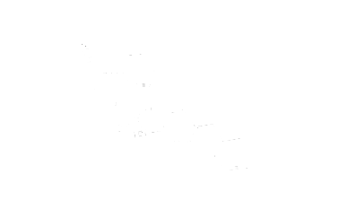 N#Cc1ccc(S(=O)(=O)NC2CCN(Cc3ccccc3)CC2)c2ccccc12